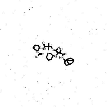 CC(C)(COc1noc(C(=O)NC2C3CC4CC(C3)CC2C4)c1SC1CCCCC1)C(=O)N[C@H]1CC=CC[C@H]1C(=O)O